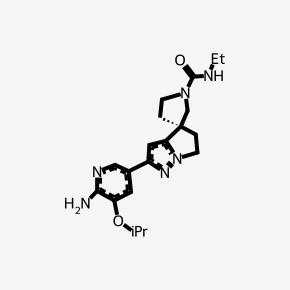 CCNC(=O)N1CC[C@@]2(CCn3nc(-c4cnc(N)c(OC(C)C)c4)cc32)C1